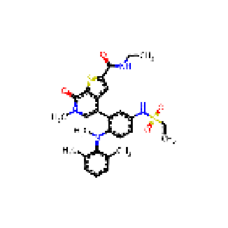 C=CS(=O)(=O)Nc1ccc(N(C)c2c(C)cccc2C)c(-c2cn(C)c(=O)c3sc(C(=O)NCC)cc23)c1